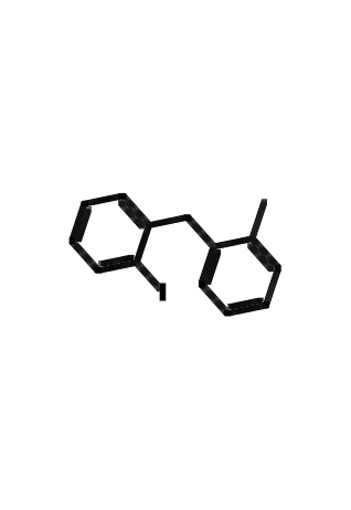 Cc1ccccc1Cc1ccccc1I